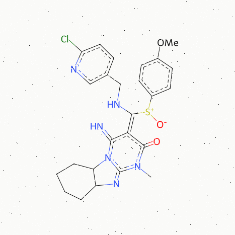 COc1ccc([S+]([O-])/C(NCc2ccc(Cl)nc2)=c2\c(=O)n(C)c3n(c2=N)C2CCCCC2N=3)cc1